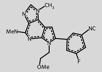 [C-]#[N+]c1cc(F)cc(-c2cc3c4c(ncn4C)c(NC)nc3n2CCOC)c1